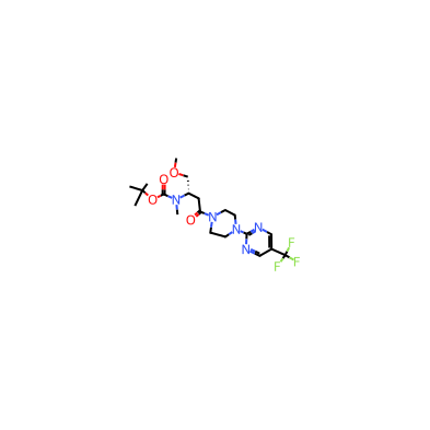 COC[C@H](CC(=O)N1CCN(c2ncc(C(F)(F)F)cn2)CC1)N(C)C(=O)OC(C)(C)C